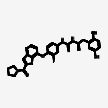 O=C(Cc1cc(O)ccc1O)NC(=S)Nc1ccc(Oc2ccnc3cc(C(=O)N4CCCC4)sc23)c(F)c1